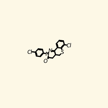 O=C1CC2CSc3c(Cl)cccc3C2=NN1c1ccc(Cl)cc1